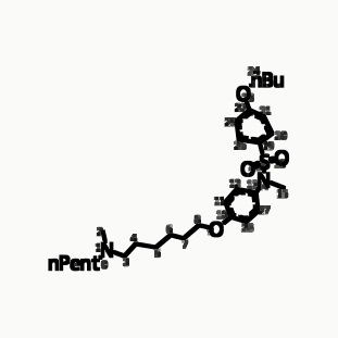 CCCCCN(C)CCCCCCOc1ccc(N(C)S(=O)(=O)c2ccc(OCCCC)cc2)cc1